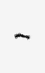 CC1(N2CCN(/N=C/c3ccc(C(F)(F)F)cc3)CC2)Cn2cc([N+](=O)[O-])nc2O1